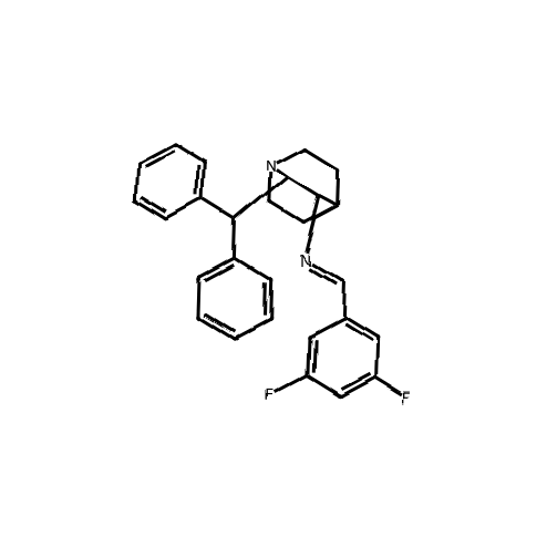 Fc1cc(F)cc(C=NC2C3CCN(CC3)C2C(c2ccccc2)c2ccccc2)c1